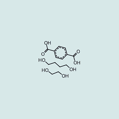 O=C(O)c1ccc(C(=O)O)cc1.OCCCCO.OCCO